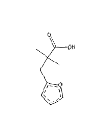 CC(C)(Cc1ccco1)C(=O)O